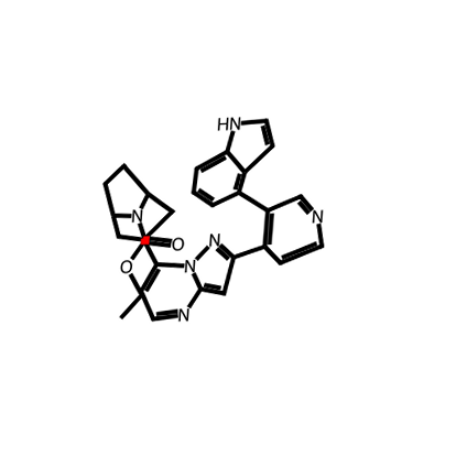 CCOC(=O)N1C2CCC1CC(c1ccnc3cc(-c4ccncc4-c4cccc5[nH]ccc45)nn13)C2